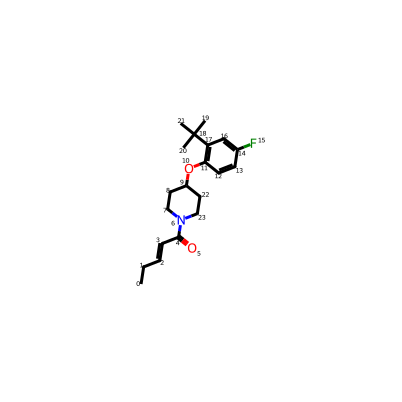 CC/C=C/C(=O)N1CCC(Oc2ccc(F)cc2C(C)(C)C)CC1